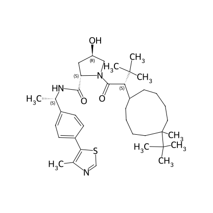 Cc1ncsc1-c1ccc([C@H](C)NC(=O)[C@@H]2C[C@@H](O)CN2C(=O)[C@@H](C2CCCCC(C)(C(C)(C)C)CCCC2)C(C)(C)C)cc1